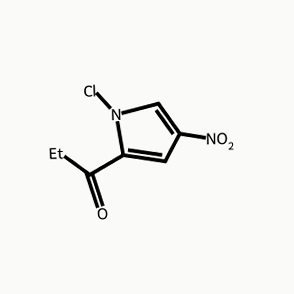 CCC(=O)c1cc([N+](=O)[O-])cn1Cl